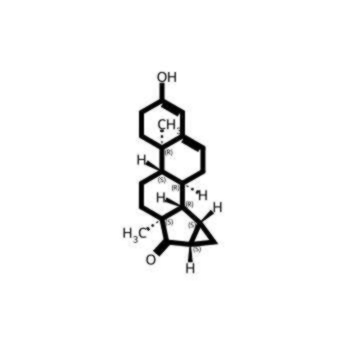 C[C@]12CCC(O)=CC1=CC[C@H]1[C@@H]3[C@@H]4C[C@@H]4C(=O)[C@@]3(C)CC[C@@H]12